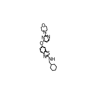 c1cc(Oc2ccc3nc(NCC4CCCCC4)sc3c2)nc(N2CCOCC2)n1